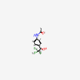 CC(=O)Nc1ccc(C(O)C(F)(F)F)cc1